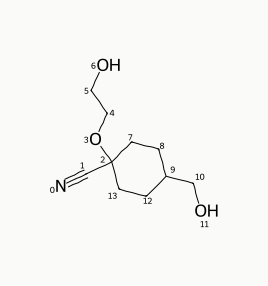 N#CC1(OCCO)CCC(CO)CC1